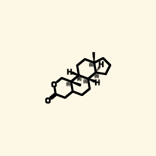 C[C@@]12CCC[C@H]1[C@@H]1CCC3CC(=O)OC[C@]3(C)[C@@H]1CC2